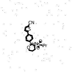 CC(C)S(=O)(=O)N[C@@H]1CCCO[C@H]1c1ccc(-c2ccc(C#N)s2)cc1